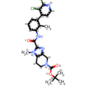 Cc1c(NC(=O)c2nc3c(n2C)CCN(C(=O)OC(C)(C)C)C3)cccc1-c1ccnc(Cl)c1Cl